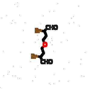 O=CC(Br)CCOCCC(Br)C=O